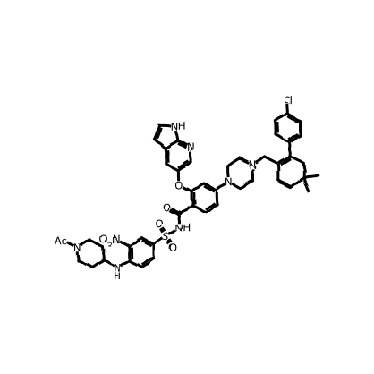 CC(=O)N1CCC(Nc2ccc(S(=O)(=O)NC(=O)c3ccc(N4CCN(CC5=C(c6ccc(Cl)cc6)CC(C)(C)CC5)CC4)cc3Oc3cnc4[nH]ccc4c3)cc2[N+](=O)[O-])CC1